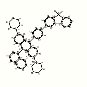 CC1(C)c2ccccc2-c2cc(-c3ccc(-c4c5cc(N6CCCCC6)ccc5c(-c5cccc6ccccc56)c5cc(N6CCCCC6)ccc45)cc3)ccc21